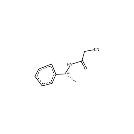 C[C@@H](NC(=O)CC#N)c1ccccc1